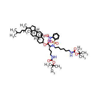 CC(C)CCC[C@@H](C)[C@H]1CC[C@H]2[C@@H]3CC=C4C[C@@H](OC(=O)[C@H](CCCNC(=O)OC(C)(C)C)N(CCCCCCNC(=O)OC(C)(C)C)S(=O)(=O)c5ccccc5NO)CC[C@]4(C)[C@H]3CC[C@]12C